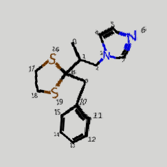 CC(Cn1ccnc1)C1(Cc2ccccc2)SCCS1